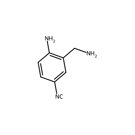 [C-]#[N+]c1ccc(N)c(CN)c1